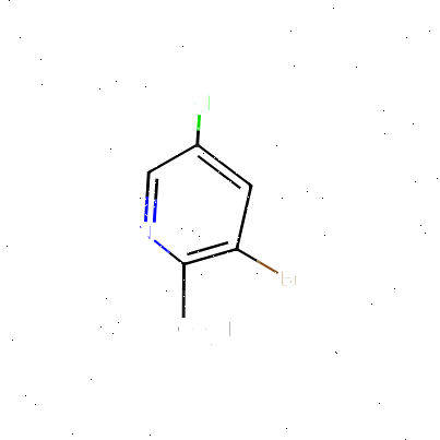 O=C(O)c1ncc(Cl)cc1Br